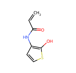 C=CC(=O)Nc1ccsc1O